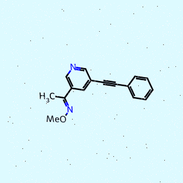 CON=C(C)c1cncc(C#Cc2ccccc2)c1